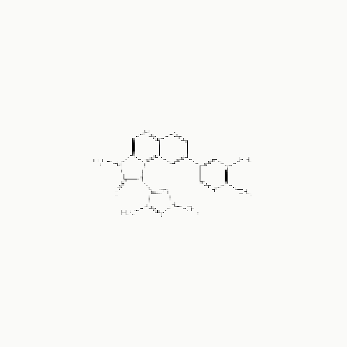 Cc1ncc(-c2ccc3ncc4c(c3c2)n(-c2cn(C)nc2C)c(=O)n4C)cc1N